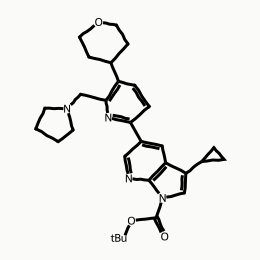 CC(C)(C)OC(=O)n1cc(C2CC2)c2cc(-c3ccc(C4CCOCC4)c(CN4CCCC4)n3)cnc21